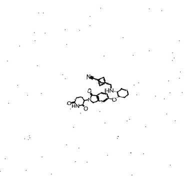 N#CC12CC(CN[C@@H]3CCCC[C@@H]3Oc3ccc4c(c3)CN(C3CCC(=O)NC3=O)C4=O)(C1)C2